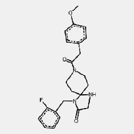 COc1ccc(CC(=O)N2CCC3(CC2)NCC(=O)N3Cc2ccccc2F)cc1